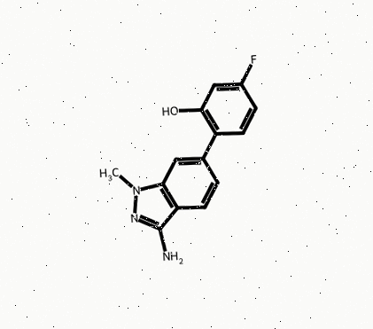 Cn1nc(N)c2ccc(-c3ccc(F)cc3O)cc21